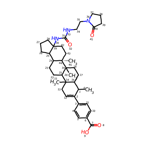 CC1C(c2ccc(C(=O)O)cc2)=CCC2(C)C1CCC1(C)C2CCC2C3CCCC3(NC(=O)NCCN3CCCC3=O)CC[C@]21C